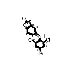 O=c1oc2ccc(Nc3c(Cl)cc(Br)cc3Cl)cc2s1